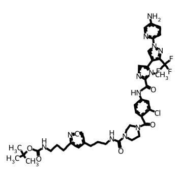 Cn1c(-c2cn(-c3ccc(N)cn3)nc2C(F)(F)F)cnc1C(=O)Nc1ccc(C(=O)N2CCN(C(=O)NCCCc3ccnc(CCCNC(=O)OC(C)(C)C)c3)CC2)c(Cl)c1